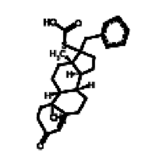 C[C@]12CCC(=O)C=C1CC[C@@H]1[C@H]2CC[C@@]2(C)[C@H]1CCC2(Cc1ccccc1)SC(=O)O